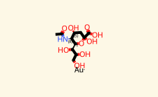 CC(=O)N[C@@H]1[C@@H](O)CC(O)(C(=O)O)O[C@H]1C(O)C(O)CO.[Au]